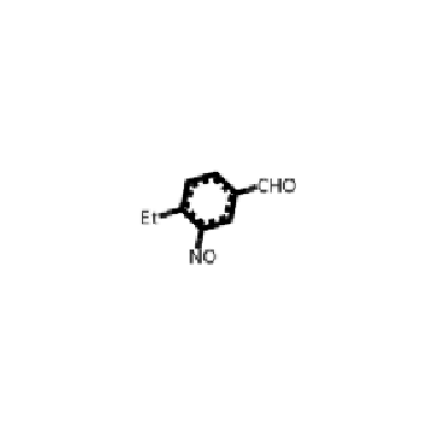 CCc1ccc(C=O)cc1N=O